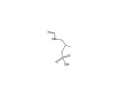 C=CNCC(C)CS(=O)(=O)O